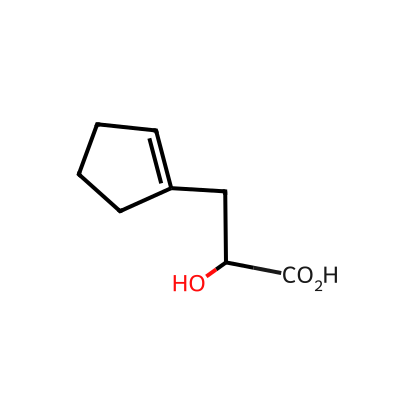 O=C(O)C(O)CC1=CCCC1